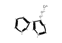 [Cr+4].[O-2].[O-2].c1ccncc1.c1ccncc1